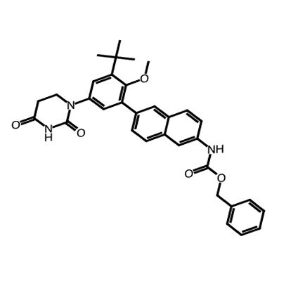 COc1c(-c2ccc3cc(NC(=O)OCc4ccccc4)ccc3c2)cc(N2CCC(=O)NC2=O)cc1C(C)(C)C